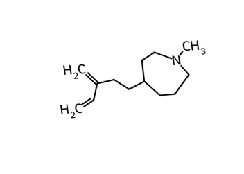 C=CC(=C)CCC1CCCN(C)CC1